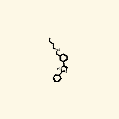 CCCCNCc1cccc(-c2cnc(-c3ccccc3)[nH]2)c1